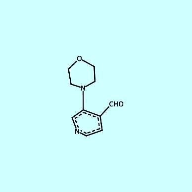 O=Cc1ccncc1N1CCOCC1